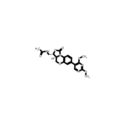 COc1ncc(-c2ccc3c(c2)OC[C@H]2[C@H](CNC(C)=O)OC(=O)N32)c(OC)n1